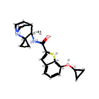 O=C(N[C@@H]1C2CCN(CC2)C12CC2)c1cc2cccc(OC3CC3)c2s1